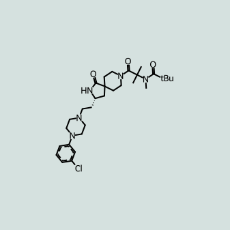 CN(C(=O)C(C)(C)C)C(C)(C)C(=O)N1CCC2(CC1)C[C@H](CCN1CCN(c3cccc(Cl)c3)CC1)NC2=O